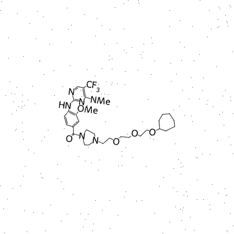 CNc1nc(Nc2ccc(C(=O)N3CCN(CCOCCOCCOC4CCCCCC4)CC3)cc2OC)ncc1C(F)(F)F